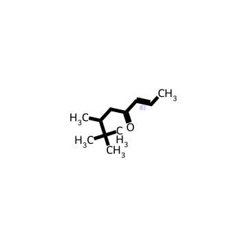 C/C=C/C(=O)CC(C)C(C)(C)C